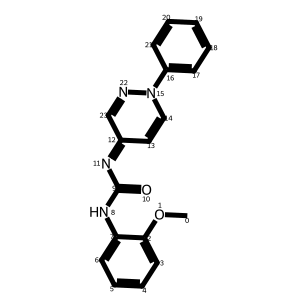 COc1ccccc1NC(=O)N=c1ccn(-c2ccccc2)nc1